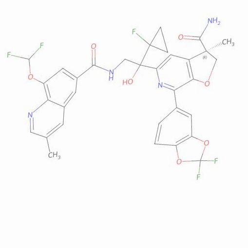 Cc1cnc2c(OC(F)F)cc(C(=O)NCC(O)(c3cc4c(c(-c5ccc6c(c5)OC(F)(F)O6)n3)OC[C@]4(C)C(N)=O)C3(F)CC3)cc2c1